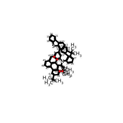 CC1C=C(N(c2cccc(-c3cccc4c3sc3ccccc34)c2)c2cccc3c2-c2ccccc2C3(C)C)C(c2cccc3cccc(-c4cc(C(C)(C)C)cc(C(C)(C)C)c4)c23)=CC1